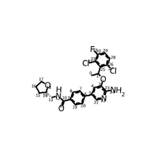 CC(Oc1cc(-c2ccc(C(=O)NC[C@@H]3CCCO3)cc2)cnc1N)c1c(Cl)ccc(F)c1Cl